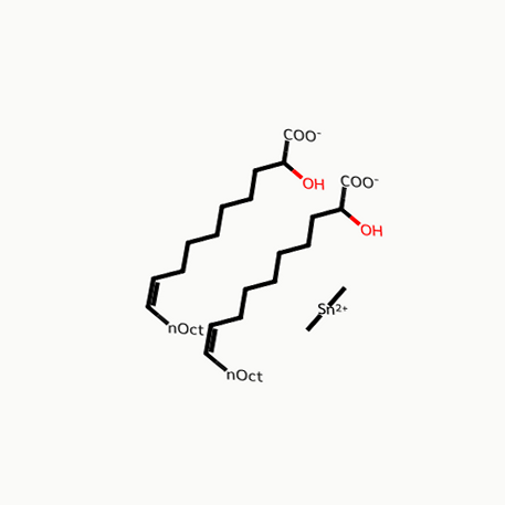 CCCCCCCC/C=C\CCCCCCC(O)C(=O)[O-].CCCCCCCC/C=C\CCCCCCC(O)C(=O)[O-].[CH3][Sn+2][CH3]